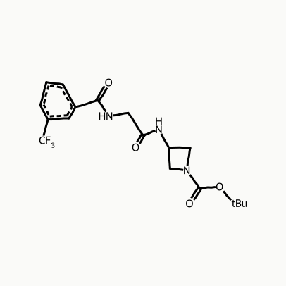 CC(C)(C)OC(=O)N1CC(NC(=O)CNC(=O)c2cccc(C(F)(F)F)c2)C1